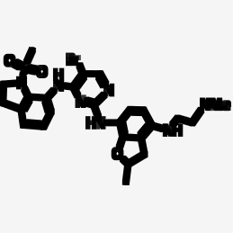 CNCCNc1ccc(Nc2ncc(Br)c(Nc3cccc4c3N(S(C)(=O)=O)CC4)n2)c2c1CC(C)O2